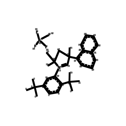 CC(C)(C)c1ccc(C(C)(C)C)c([N+]2=CC(C)(c3cccc4ccccc34)CC2(C)C)c1.F[B-](F)(F)F